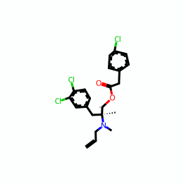 C=CCN(C)[C@](C)([CH]OC(=O)Cc1ccc(Cl)cc1)Cc1ccc(Cl)c(Cl)c1